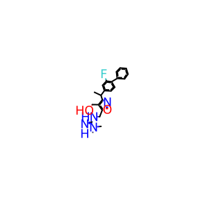 CC(c1ccc(-c2ccccc2)c(F)c1)c1noc(CNC(=N)N(C)C)c1CO